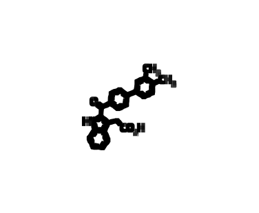 Cc1ccc(-c2ccc(C(=O)c3[nH]c4ccccc4c3CC(=O)O)cc2)cc1C